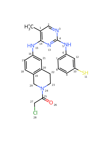 Cc1cnc(Nc2cccc(S)c2)nc1Nc1ccc2c(c1)CCN(C(=O)CCl)C2